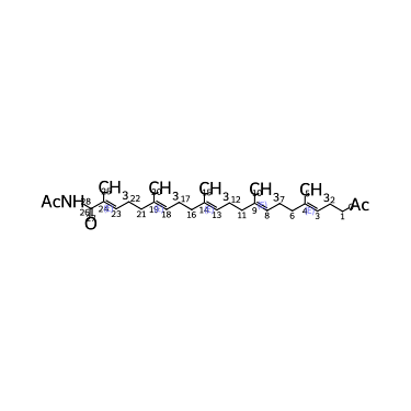 CC(=O)CC/C=C(\C)CC/C=C(\C)CC/C=C(\C)CC/C=C(\C)CC/C=C(\C)C(=O)NC(C)=O